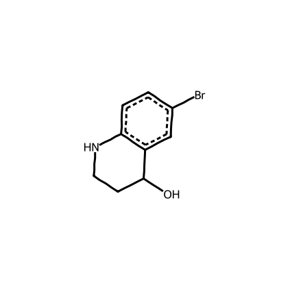 OC1CCNc2ccc(Br)cc21